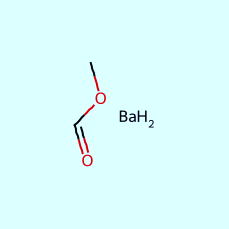 COC=O.[BaH2]